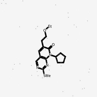 CCOCCc1cc2cnc(SC)nc2n(C2CCCC2)c1=O